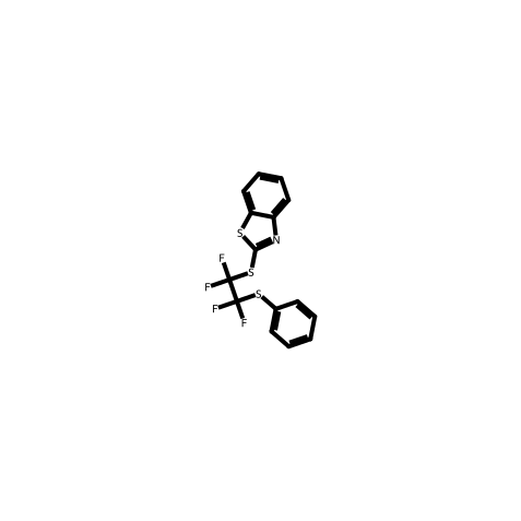 FC(F)(Sc1ccccc1)C(F)(F)Sc1nc2ccccc2s1